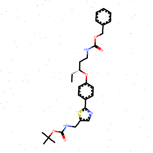 CC[C@H](CCNC(=O)OCc1ccccc1)Oc1ccc(-c2ncc(CNC(=O)OC(C)(C)C)s2)cc1